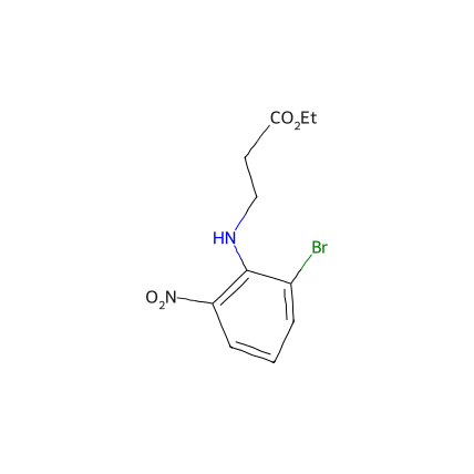 CCOC(=O)CCNc1c(Br)cccc1[N+](=O)[O-]